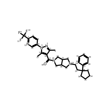 Cc1nn(-c2ccc(C(F)(F)F)nc2)c(C)c1C(=O)N1CC2CN(CCC3(c4ccccc4)CCCC3)CC2C1